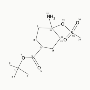 CC(C)(C)OC(=O)C1CCC(N)(OS(C)(=O)=O)CC1